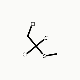 CSC(Cl)(Cl)CCl